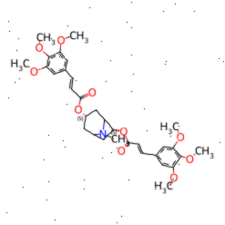 COc1cc(C=CC(=O)O[C@H]2CC3C[C@H](OC(=O)C=Cc4cc(OC)c(OC)c(OC)c4)C(C2)N3C)cc(OC)c1OC